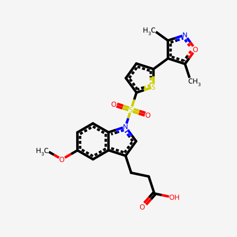 COc1ccc2c(c1)c(CCC(=O)O)cn2S(=O)(=O)c1ccc(-c2c(C)noc2C)s1